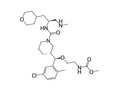 CNC[C@H](CC1CCOCC1)NC(=O)N1CCC[C@@H]([C@@H](OCCNC(=O)OC)c2cc(Cl)ccc2C)C1